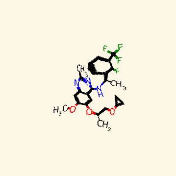 COc1cc2nc(C)nc(N[C@H](C)c3cccc(C(F)(F)F)c3F)c2cc1O[C@@H](C)COC1CC1